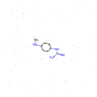 CC(C)(C)Nc1ccc(NC(=N)N)cc1